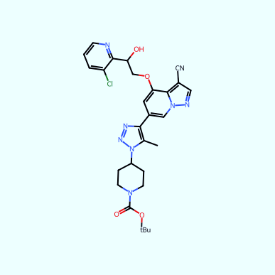 Cc1c(-c2cc(OCC(O)c3ncccc3Cl)c3c(C#N)cnn3c2)nnn1C1CCN(C(=O)OC(C)(C)C)CC1